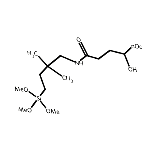 CCCCCCCCC(O)CCC(=O)NCC(C)(C)CC[Si](OC)(OC)OC